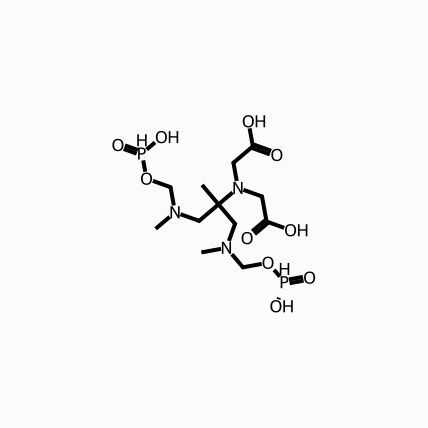 CN(CO[PH](=O)O)CC(C)(CN(C)CO[PH](=O)O)N(CC(=O)O)CC(=O)O